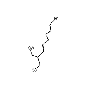 OCC(CO)CCCCCCBr